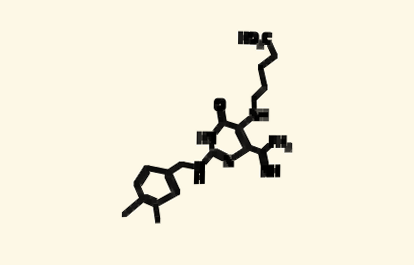 Cc1ccc(CNc2nc(C(=N)P)c(NCCCCC(=O)O)c(=O)[nH]2)cc1C